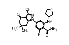 Cc1nn(-c2cc(F)c(C(N)=O)c(N[C@@H]3CCOC3)c2)c2c1C(=O)CC(C)(C)C2